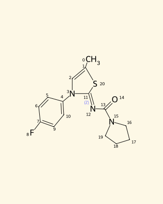 Cc1cn(-c2ccc(F)cc2)/c(=N/C(=O)N2CCCC2)s1